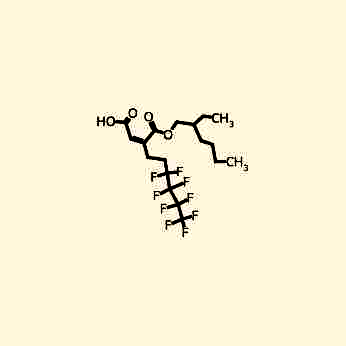 CCCCC(CC)COC(=O)/C(=C\C(=O)O)CCC(F)(F)C(F)(F)C(F)(F)C(F)(F)F